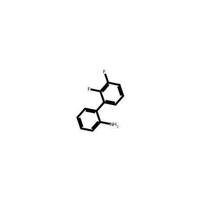 Nc1ccccc1-c1cccc(F)c1F